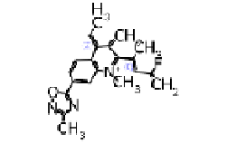 C=C(F)/C=C(\C)c1c(=C)/c(=C\C)c2ccc(-c3nc(C)no3)cc2[n+]1C